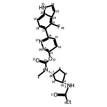 CCC(=O)N[C@H]1CC[C@@H](N(C)C(=O)Oc2ccc(-c3ccc4[nH]ccc4c3F)nn2)C1